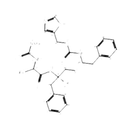 CNC(=O)NC(C(=O)N[C@](O)(CC[C@@H](Cc1ccccc1)NC(=O)OCc1cncs1)Cc1ccccc1)C(C)C